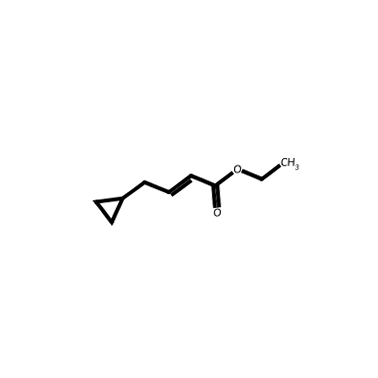 CCOC(=O)C=CCC1CC1